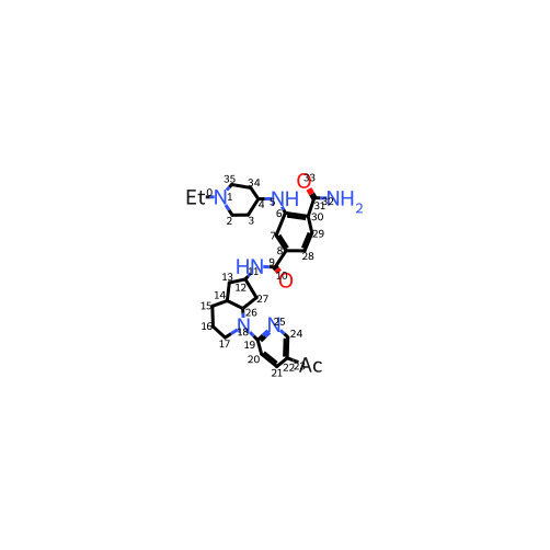 CCN1CCC(Nc2cc(C(=O)NC3CC4CCCN(c5ccc(C(C)=O)cn5)C4C3)ccc2C(N)=O)CC1